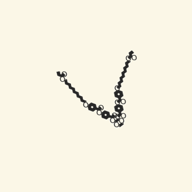 C=CC(=O)OCCCCCCCCCCCOc1ccc(C(=O)Oc2ccc(C(=O)OC3OCCOC3OC(=O)c3ccc(OC(=O)c4ccc(OCCCCCCCCCCCOC(=O)C=C)cc4)cc3)cc2)cc1